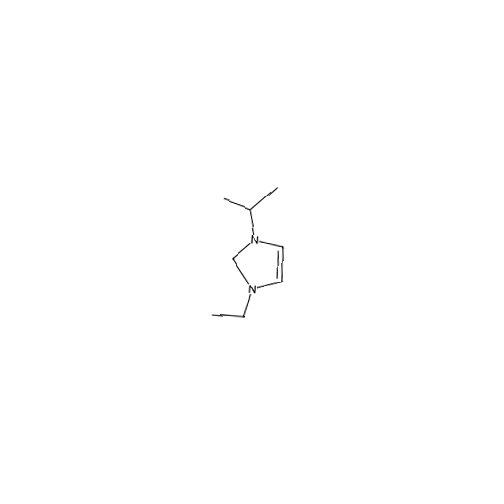 CCN1C=CN(C(C)C)C1